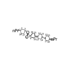 CCC[C@H]1CC[C@H](OC(=O)c2ccc(C3CCC([C@H]4CC[C@H](CCC)CC4)CC3)cc2)CC1